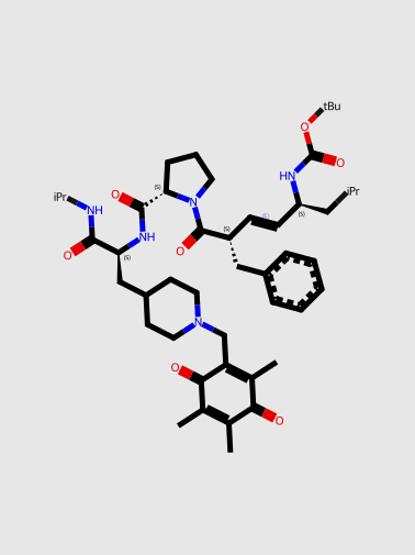 CC1=C(C)C(=O)C(CN2CCC(C[C@H](NC(=O)[C@@H]3CCCN3C(=O)[C@H](/C=C/[C@H](CC(C)C)NC(=O)OC(C)(C)C)Cc3ccccc3)C(=O)NC(C)C)CC2)=C(C)C1=O